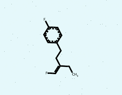 CC/C(=C/F)CCc1ccc(F)cc1